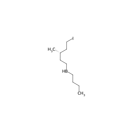 CCCCBCC[C@H](C)CCI